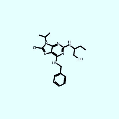 CCC(CO)Nc1nc(NCc2ccccc2)c2nc(Cl)n(C(C)C)c2n1